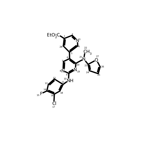 CCOC(=O)c1cncc(-c2cnc(Nc3ccc(F)c(Cl)c3)nc2N(C)c2ccco2)c1